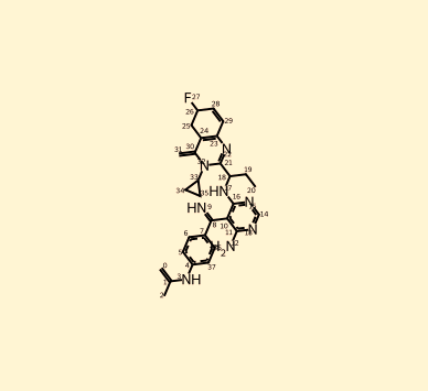 C=C(C)Nc1ccc(C(=N)c2c(N)ncnc2NC(CC)C2=NC3=C(CC(F)C=C3)C(=C)N2C2CC2)cc1